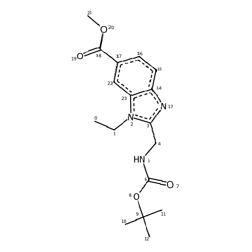 CCn1c(CNC(=O)OC(C)(C)C)nc2ccc(C(=O)OC)cc21